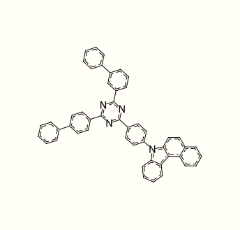 c1ccc(-c2ccc(-c3nc(-c4ccc(-n5c6ccccc6c6c7ccccc7ccc65)cc4)nc(-c4cccc(-c5ccccc5)c4)n3)cc2)cc1